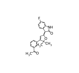 CC(=O)c1cccc(C2=CC(=C3C(=O)Nc4cc(F)ccc43)OC2(C)C)c1